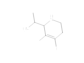 CC(N)C1NCCC(I)=C1F